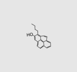 CCCCc1c(O)cc2ccc3cccc4ccc1c2c34